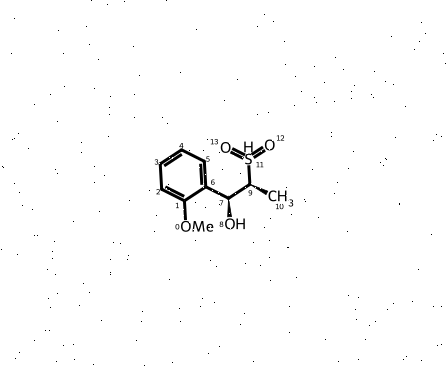 COc1ccccc1[C@H](O)[C@H](C)[SH](=O)=O